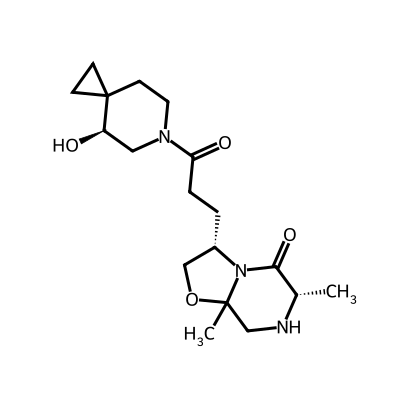 C[C@@H]1NCC2(C)OC[C@H](CCC(=O)N3CCC4(CC4)[C@H](O)C3)N2C1=O